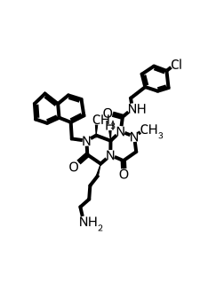 C[C@H]1[C@H]2N(C(=O)CN(C)N2C(=O)NCc2ccc(Cl)cc2)[C@@H](CCCCN)C(=O)N1Cc1cccc2ccccc12